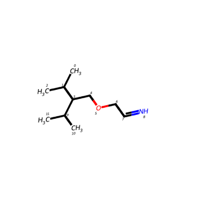 CC(C)C(COCC=N)C(C)C